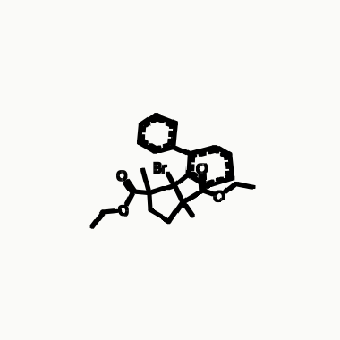 CCOC(=O)C1(C)CCC(C)(C(=O)OCC)C1(Br)c1ccccc1-c1ccccc1